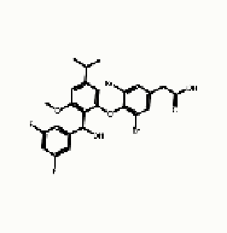 COc1cc(C(C)C)cc(Oc2c(Br)cc(CC(=O)O)cc2Br)c1C(O)c1cc(F)cc(F)c1